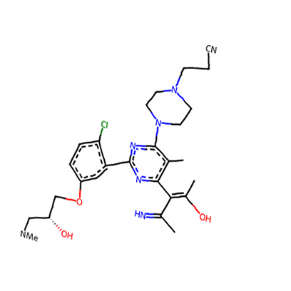 CNC[C@@H](O)COc1ccc(Cl)c(-c2nc(/C(C(C)=N)=C(\C)O)c(C)c(N3CCN(CCC#N)CC3)n2)c1